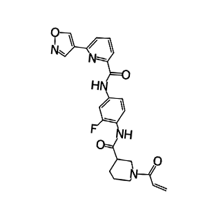 C=CC(=O)N1CCCC(C(=O)Nc2ccc(NC(=O)c3cccc(-c4cnoc4)n3)cc2F)C1